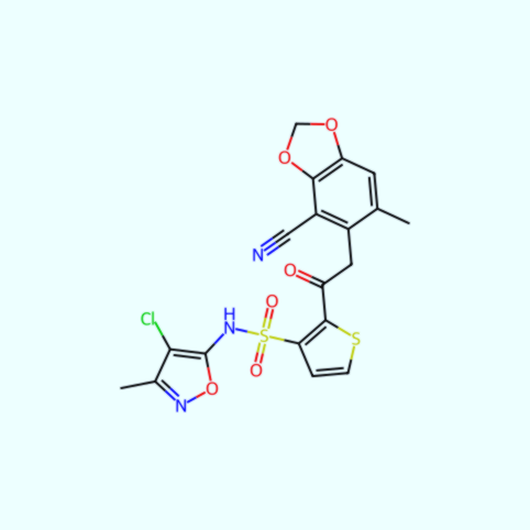 Cc1cc2c(c(C#N)c1CC(=O)c1sccc1S(=O)(=O)Nc1onc(C)c1Cl)OCO2